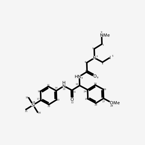 CNCCN(CI)CC(=O)NC(C(=O)Nc1ccc([Si](C)(C)C)cc1)c1ccc(OC)cc1